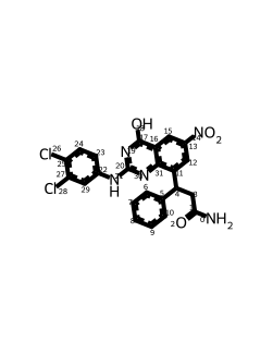 NC(=O)CC(c1ccccc1)c1cc([N+](=O)[O-])cc2c(O)nc(Nc3ccc(Cl)c(Cl)c3)nc12